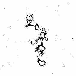 CCNC(=O)c1ccc(-n2nnc(C(=O)NCc3ccnc(OCC4CCOCC4)c3)c2CSC)cc1